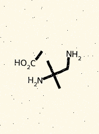 CC(=O)O.CC(C)(N)CN